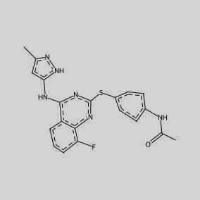 CC(=O)Nc1ccc(Sc2nc(Nc3cc(C)n[nH]3)c3cccc(F)c3n2)cc1